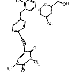 Cn1cc(C#Cc2ccc(Cc3cc([C@H]4CC(O)CC(CO)O4)ccc3Cl)cc2)c(=O)n(C)c1=O